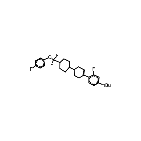 CCCCc1ccc(C2=CCC(C3CCC(C(F)(F)Oc4ccc(F)cc4)CC3)CC2)c(F)c1